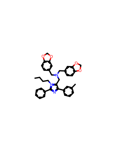 CCCCn1c(-c2ccccc2)nc(-c2cccc(C)c2)c1CN(Cc1ccc2c(c1)OCO2)Cc1ccc2c(c1)OCO2